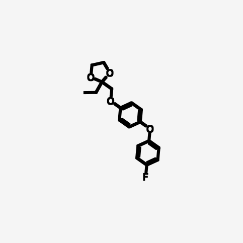 CCC1(COc2ccc(Oc3ccc(F)cc3)cc2)OCCO1